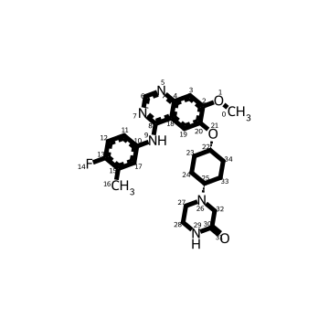 COc1cc2ncnc(Nc3ccc(F)c(C)c3)c2cc1O[C@H]1CC[C@@H](N2CCNC(=O)C2)CC1